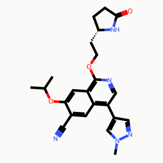 CC(C)Oc1cc2c(OCC[C@@H]3CCC(=O)N3)ncc(-c3cnn(C)c3)c2cc1C#N